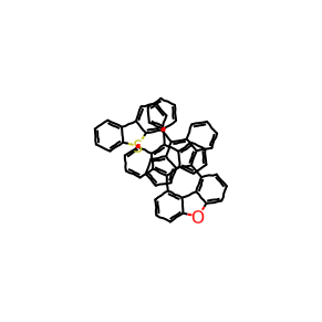 c1ccc(-c2c3ccccc3c(-c3cccc4oc5cccc(-c6c7ccccc7c(-c7cccc8c7sc7ccccc78)c7ccccc67)c5c34)c3ccccc23)cc1